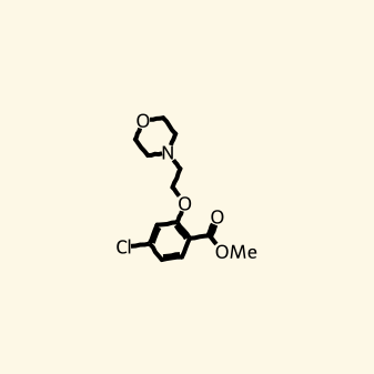 COC(=O)c1ccc(Cl)cc1OCCN1CCOCC1